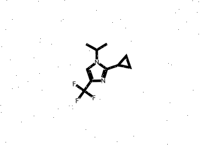 CC(C)n1cc(C(F)(F)F)nc1C1CC1